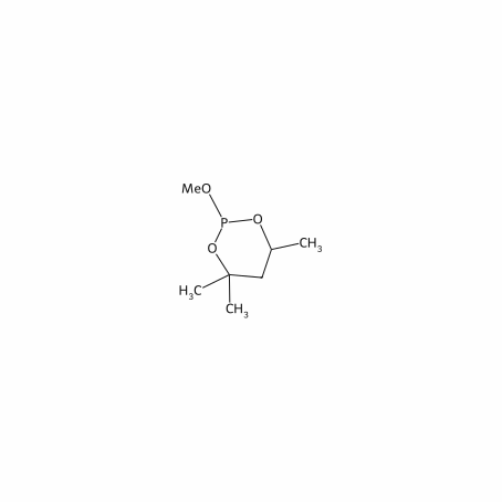 COP1OC(C)CC(C)(C)O1